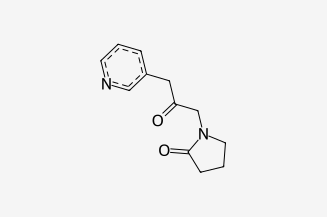 O=C(Cc1cccnc1)CN1CCCC1=O